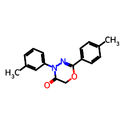 Cc1ccc(C2=NN(c3cccc(C)c3)C(=O)CO2)cc1